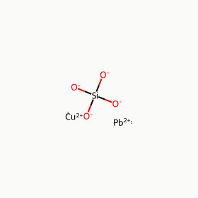 [Cu+2].[O-][Si]([O-])([O-])[O-].[Pb+2]